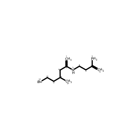 C=C(P)CCNC(=C)CC(C)CCC(C)CC